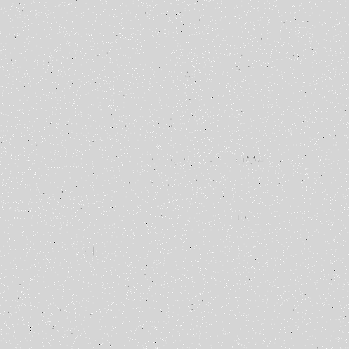 COC(=O)C(SCCC(C)=O)c1cccc(Cl)c1